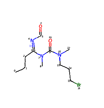 CCC/C(=N/C=O)N(C)C(=O)N(C)CCCBr